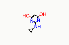 Oc1cc(O)nc(NC2CC2)n1